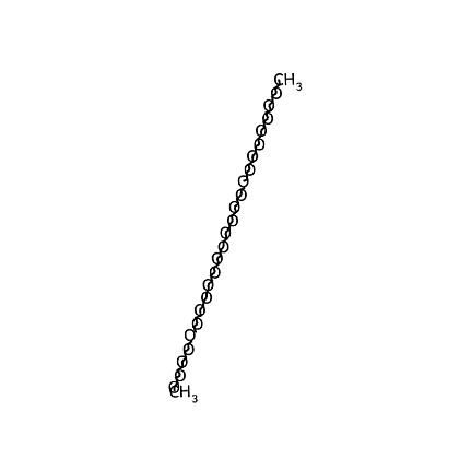 CCCOCCOCCOCCOCCOCCOCCOCCOCCOCCOCCOCCOCCOCCOCCOCCOCCOCCOCCOCCOCCOCCOCCOCCOC